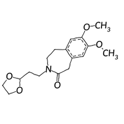 COc1cc2c(cc1OC)CC(=O)N(CCC1OCCO1)CC2